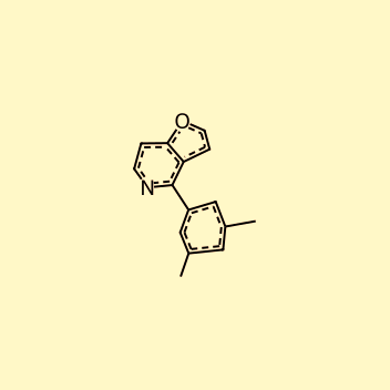 Cc1cc(C)cc(-c2nccc3occc23)c1